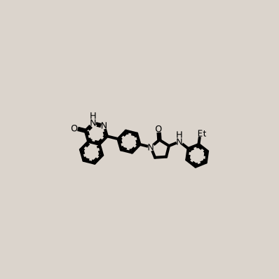 CCc1ccccc1NC1CCN(c2ccc(-c3n[nH]c(=O)c4ccccc34)cc2)C1=O